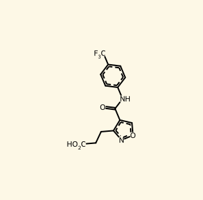 O=C(O)CCc1nocc1C(=O)Nc1ccc(C(F)(F)F)cc1